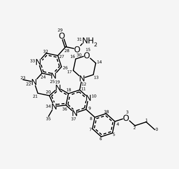 CCCOc1cccc(-c2nc(N3CCOCC3)c3nc(CN(C)c4ncc(C(=O)ON)cn4)n(C)c3n2)c1